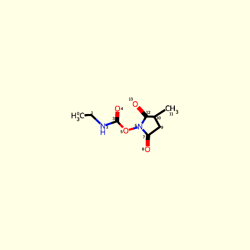 CCNC(=O)ON1C(=O)CC(C)C1=O